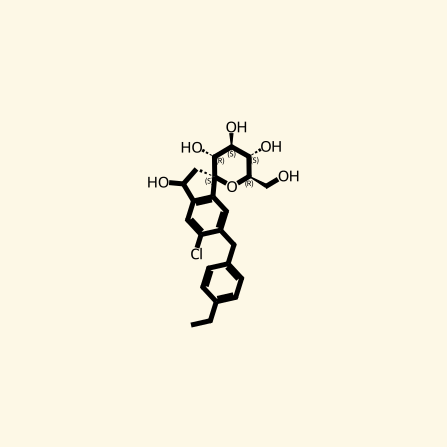 CCc1ccc(Cc2cc3c(cc2Cl)C(O)C[C@]32O[C@H](CO)[C@@H](O)[C@H](O)[C@H]2O)cc1